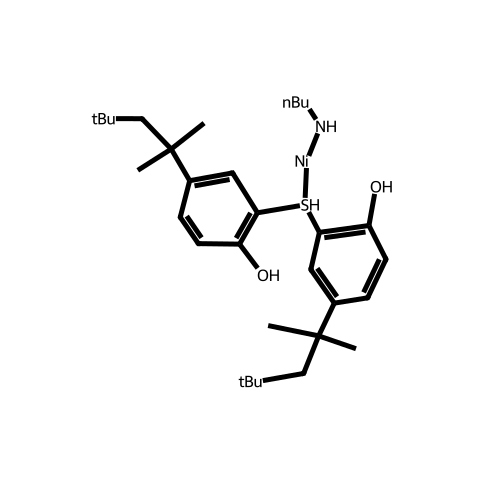 CCCC[NH][Ni][SH](c1cc(C(C)(C)CC(C)(C)C)ccc1O)c1cc(C(C)(C)CC(C)(C)C)ccc1O